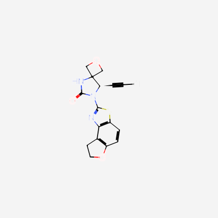 CC#C[C@H]1N(c2nc3c4c(ccc3s2)OCC4)C(=O)NC12COC2